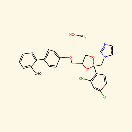 O=Cc1ccccc1-c1ccc(OCC2COC(Cn3ccnc3)(c3ccc(Cl)cc3Cl)O2)cc1.O=[N+]([O-])O